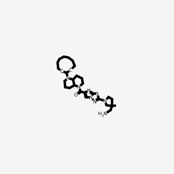 CC1(CN)CCN(c2nn3cc(C(=O)N4CCCC5C4CCCN5C4CCCCCCCCC4)nc3s2)C1